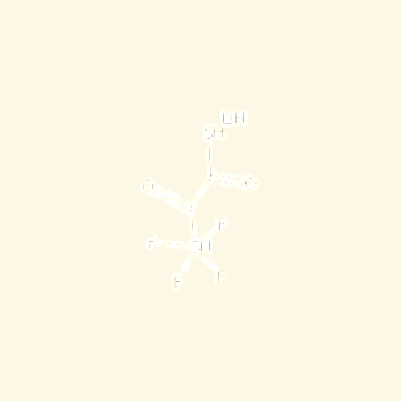 O=C(S)C(=O)[SH](F)(F)(F)F.[LiH]